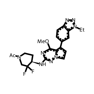 CCn1nnc2ccc(-c3ccn4nc(N[C@@H]5CCN(C(C)=O)CC5(F)F)nc(OC)c34)cc21